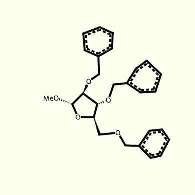 CO[C@H]1O[C@H](COCc2ccccc2)[C@@H](OCc2ccccc2)[C@@H]1OCc1ccccc1